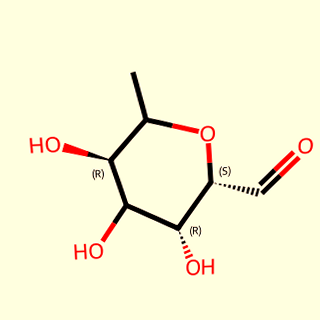 CC1O[C@H](C=O)[C@H](O)C(O)[C@H]1O